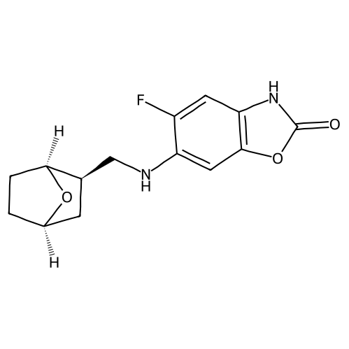 O=c1[nH]c2cc(F)c(NC[C@H]3C[C@H]4CC[C@@H]3O4)cc2o1